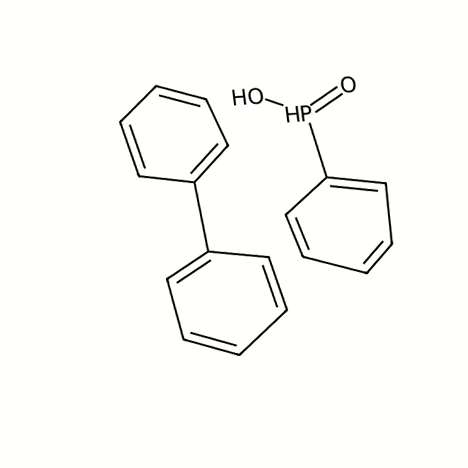 O=[PH](O)c1ccccc1.c1ccc(-c2ccccc2)cc1